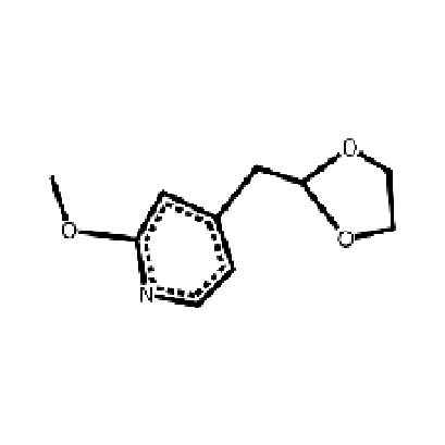 COc1cc(CC2OCCO2)ccn1